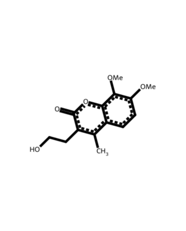 COc1ccc2c(C)c(CCO)c(=O)oc2c1OC